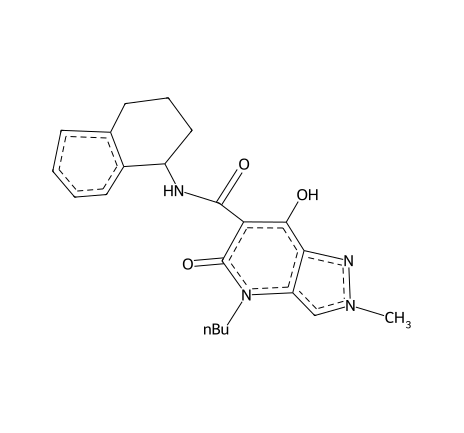 CCCCn1c(=O)c(C(=O)NC2CCCc3ccccc32)c(O)c2nn(C)cc21